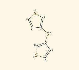 c1cc(Sc2ccsc2)cs1